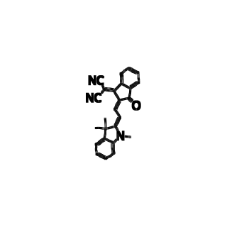 CN1/C(=C/C=C2\C(=O)c3ccccc3C2=C(C#N)C#N)C(C)(C)c2ccccc21